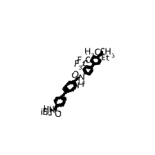 CCC(C)NC(=O)c1ccc(-c2ccc(C(=O)Nc3ccc(-c4ccc(C(C)(C)CC)cc4C(F)(F)F)c(C(F)(F)F)c3)cc2)cc1